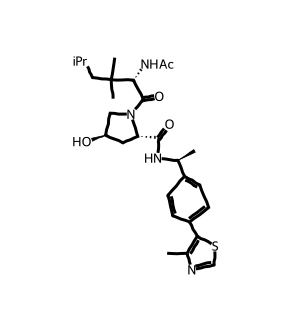 CC(=O)N[C@H](C(=O)N1C[C@H](O)C[C@H]1C(=O)N[C@@H](C)c1ccc(-c2scnc2C)cc1)C(C)(C)CC(C)C